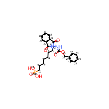 O=C(N[N+]1(CCCCCCCP(=O)(O)O)C(=O)c2ccccc2C1=O)OCc1ccccc1